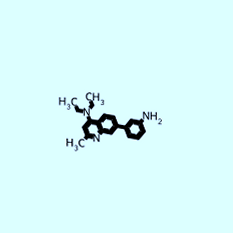 CCN(CC)c1cc(C)nc2cc(-c3cccc(N)c3)ccc12